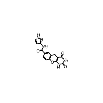 O=C(Nc1cc[nH]n1)c1ccc2c(c1)Cc1c([nH]c(=O)[nH]c1=O)O2